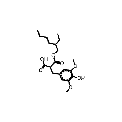 CCCCC(CC)COC(=O)C(Cc1cc(OC)c(O)c(OC)c1)C(=O)O